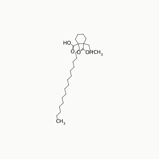 CCCCCCCCCCCCCCCCCC1(C(=O)O)CCCCC1(CCC)C(=O)O